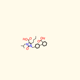 CCCCc1c(C(=O)O)n(CC(C)C)c(=O)n1Cc1ccc(-c2ccccc2C(=O)O)cc1